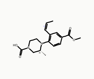 C/C=C\c1cc(C(=O)OC)ccc1N1CCN(C(=O)O)C[C@H]1C